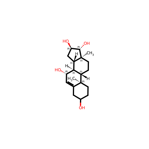 C[C@]12CC[C@H]3[C@@H]([C@@H](O)C=C4CC(O)CC[C@@]43C)[C@@H]1C[C@@H](O)[C@@H]2O